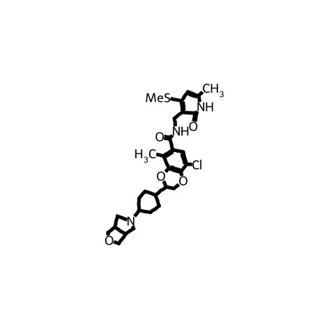 CSc1cc(C)[nH]c(=O)c1CNC(=O)c1cc(Cl)c2c(c1C)OC(C1CCC(N3CC4COCC4C3)CC1)CO2